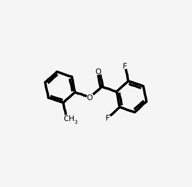 Cc1ccccc1OC(=O)c1c(F)cccc1F